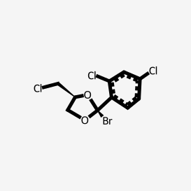 ClC[C@@H]1CO[C@@](Br)(c2ccc(Cl)cc2Cl)O1